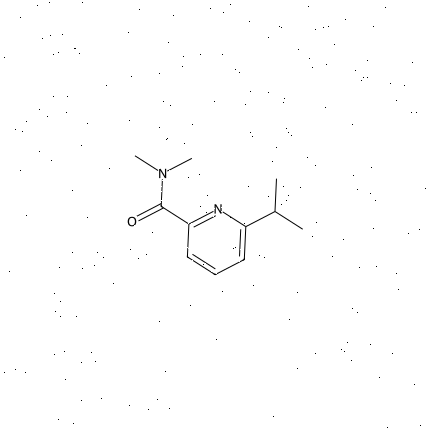 CC(C)c1cccc(C(=O)N(C)C)n1